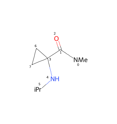 CNC(=O)C1(NC(C)C)CC1